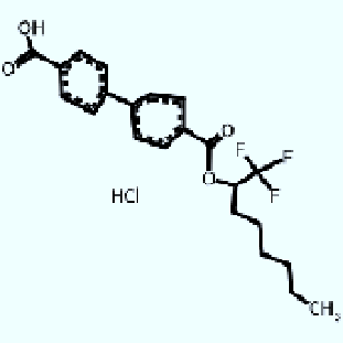 CCCCCCC(OC(=O)c1ccc(-c2ccc(C(=O)O)cc2)cc1)C(F)(F)F.Cl